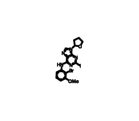 COc1cccc(Nc2nc(I)nc3c2ncn3C2CCCO2)c1Br